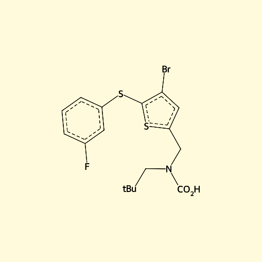 CC(C)(C)CN(Cc1cc(Br)c(Sc2cccc(F)c2)s1)C(=O)O